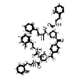 O=C(NCCc1ccccc1F)[C@H]1CN(C(=O)c2ccc(C(=O)N3C[C@H](C(=O)NCCc4ccccc4F)[C@@H](C(=O)NCCc4ccccc4F)C3)cc2)C[C@@H]1C(=O)NCCc1ccccc1F